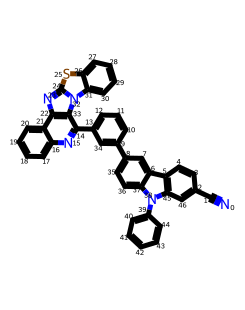 N#Cc1ccc2c3cc(-c4cccc(-c5nc6ccccc6c6nc7sc8ccccc8n7c56)c4)ccc3n(-c3ccccc3)c2c1